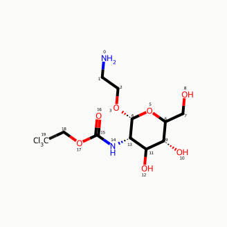 NCCO[C@@H]1OC(CO)[C@H](O)C(O)[C@@H]1NC(=O)OCC(Cl)(Cl)Cl